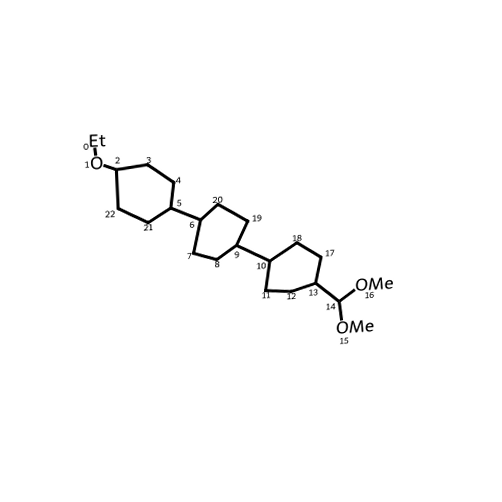 CCOC1CCC(C2CCC(C3CCC(C(OC)OC)CC3)CC2)CC1